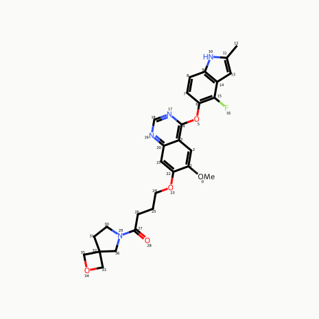 COc1cc2c(Oc3ccc4[nH]c(C)cc4c3F)ncnc2cc1OCCCC(=O)N1CCC2(COC2)C1